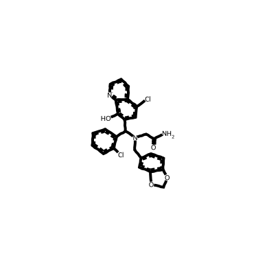 NC(=O)CN(Cc1ccc2c(c1)OCO2)C(c1ccccc1Cl)c1cc(Cl)c2cccnc2c1O